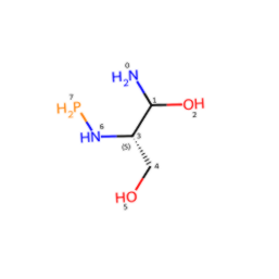 NC(O)[C@H](CO)NP